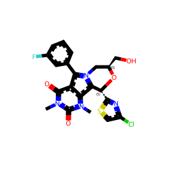 Cn1c(=O)c2c(-c3cccc(F)c3)n3c(c2n(C)c1=O)[C@@H](c1nc(Cl)cs1)O[C@H](CO)C3